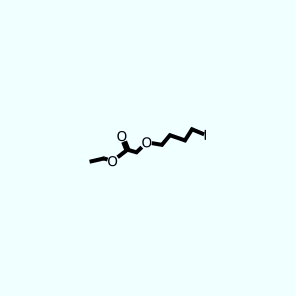 CCOC(=O)COCCCCI